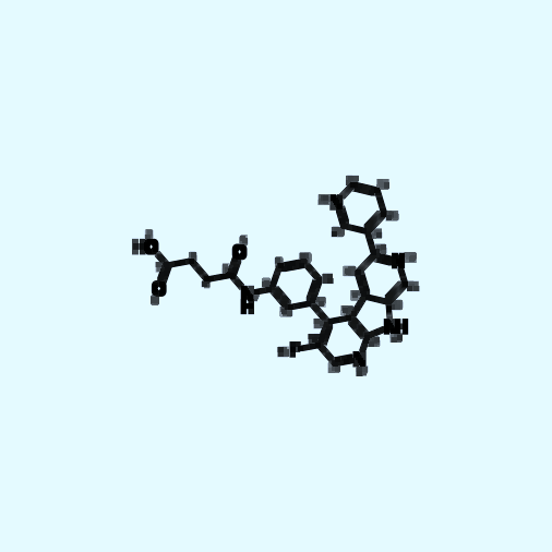 O=C(O)CCC(=O)Nc1cccc(-c2c(F)cnc3[nH]c4cnc(-c5cccnc5)cc4c23)c1